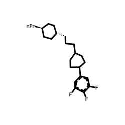 CCC[C@H]1CC[C@H](CCCC2CCC(c3cc(F)c(F)c(F)c3)CC2)CC1